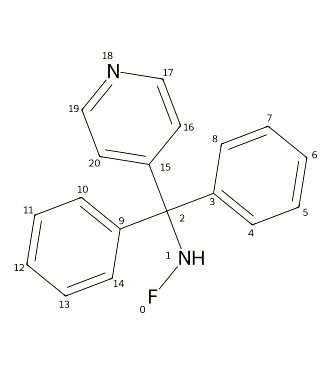 FNC(c1ccccc1)(c1ccccc1)c1ccncc1